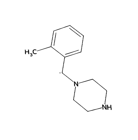 Cc1ccccc1[CH]N1CCNCC1